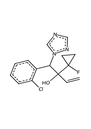 C=CC(O)(C(c1ccccc1Cl)n1cncn1)C1(F)CC1